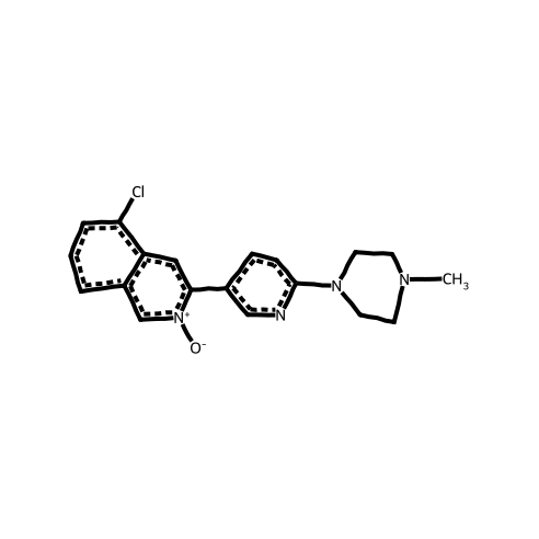 CN1CCN(c2ccc(-c3cc4c(Cl)cccc4c[n+]3[O-])cn2)CC1